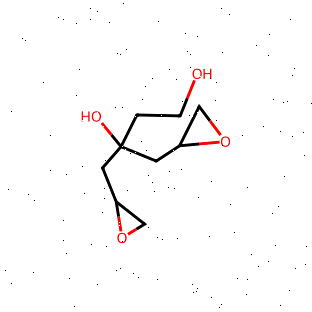 OCCC(O)(CC1CO1)CC1CO1